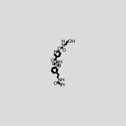 CC(C)C(=O)NCCc1cccc(S(=O)(=O)NC(=O)c2ccc(OC(=O)NCCO)nc2)c1